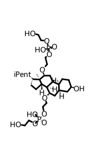 CCC[C@@H](C)[C@H]1CC[C@H]2[C@@H]3[C@H](OCCOP(=O)(O)OCCO)C[C@@H]4C[C@H](O)CC[C@]4(C)[C@H]3C[C@H](OCCOP(=O)(O)OCCO)[C@]12C